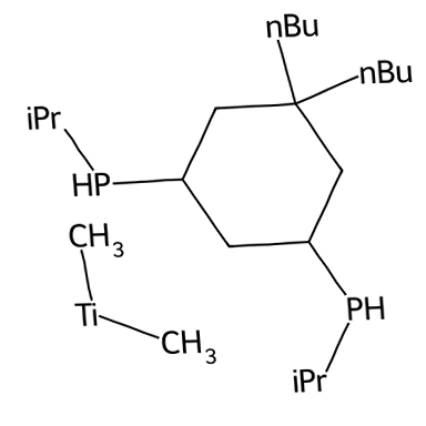 CCCCC1(CCCC)CC(PC(C)C)CC(PC(C)C)C1.[CH3][Ti][CH3]